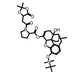 CN1CCC23c4c5ccc(O[Si](C)(C)C(C)(C)C)c4OC2C(OC(=O)C2CCCN2C(=O)CC2OC(C)(C)OC2=O)=CCC3(O)C1C5